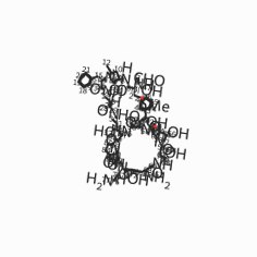 CSCC[C@H](NC=O)C(=O)N[C@H]1CC(C)N([C@@H](Cc2ccccc2)C(=O)NCCC(=O)NCC[C@@H](O)[C@@H]2NC(=O)[C@H]([C@H](O)[C@@H](O)c3ccc(O)cc3)NC(=O)[C@@H]3C[C@@H](O)CN3C(=O)[C@H]([C@@H](C)O)NC(=O)C(N)C[C@@H](O)[C@@H](OCCN)NC(=O)[C@@H]3[C@@H](O)CCN3C2=O)C1=O